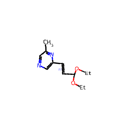 CCOC(/C=C/c1cncc(C)n1)OCC